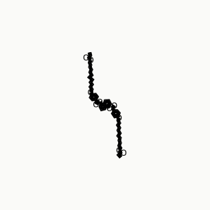 C=CC(=O)OCCCCCCCCCCCCOc1ccc(C(=O)Oc2cccc3c(OC(=O)c4ccc(OCCCCCCCCCCCCOC(=O)C=C)cc4)cccc23)cc1